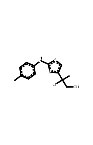 CCC(C)(CO)c1csc(Nc2ccc(C)cc2)n1